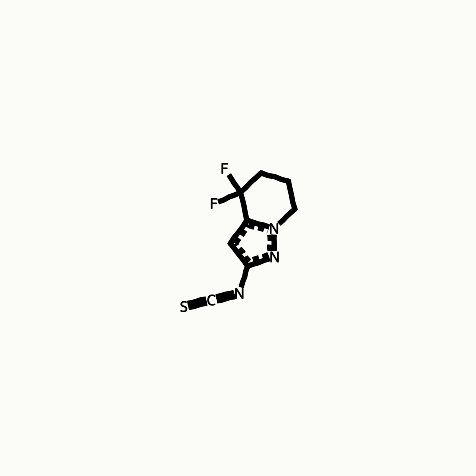 FC1(F)CCCn2nc(N=C=S)cc21